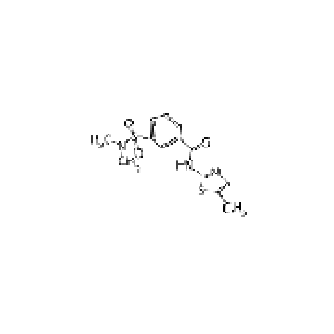 Cc1cnc(NC(=O)c2cccc(S(=O)(=O)N(C)C)c2)s1